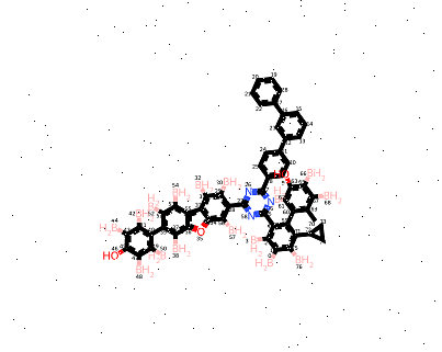 Bc1c(B)c(-c2nc(-c3ccc(-c4cccc(-c5ccccc5)c4)cc3)nc(-c3c(B)c(B)c4c(oc5c(B)c(-c6c(B)c(B)c(O)c(B)c6B)c(B)c(B)c54)c3B)n2)c(-c2c(B)c(O)c(B)c(B)c2C)c(C2CC2)c1B